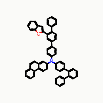 c1ccc(-c2ccccc2-c2ccc(N(c3ccc(-c4ccc(-c5ccccc5)c(-c5cc6ccccc6o5)c4)cc3)c3ccc4c(ccc5ccccc54)c3)cc2)cc1